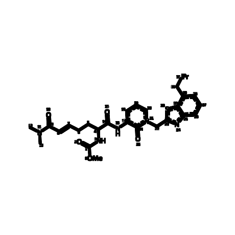 COC(=O)NC(CC/C=C/C(=O)N(C)C)C(=O)Nc1cccn(Cc2nc3cccc(CC(C)C)c3s2)c1=O